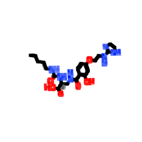 CCCCCNC(=O)N[C@@H](CNC(=O)c1ccc(OCCNC2=NCCN2)cc1O)C(=O)O